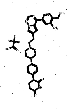 Cc1cc(-c2ncnn3cc(CCN4CCC(c5ccc(C6CCC(=O)NC6=O)cc5)CC4)cc23)ccc1CN.O=C(O)C(F)(F)F